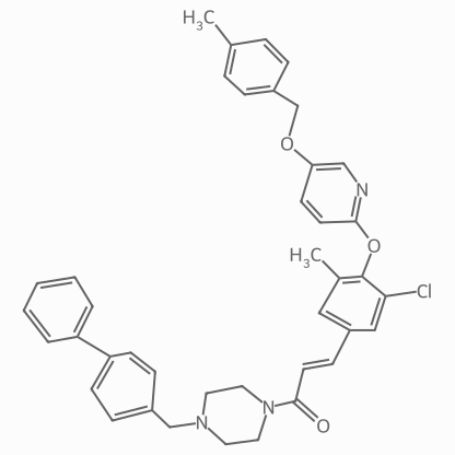 Cc1ccc(COc2ccc(Oc3c(C)cc(C=CC(=O)N4CCN(Cc5ccc(-c6ccccc6)cc5)CC4)cc3Cl)nc2)cc1